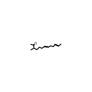 CC=CCCC=CCCCC(C)C(C)=O